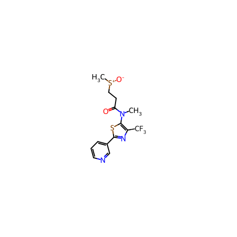 CN(C(=O)CC[S+](C)[O-])c1sc(-c2cccnc2)nc1C(F)(F)F